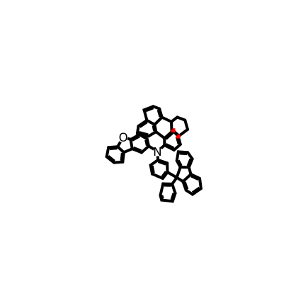 c1ccc(C2(c3cccc(N(c4ccc5oc6ccccc6c5c4)c4ccccc4-c4cccc5cccc(C6CCCCC6)c45)c3)c3ccccc3-c3ccccc32)cc1